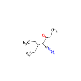 CCC(=O)C(C#N)C(CC)CC